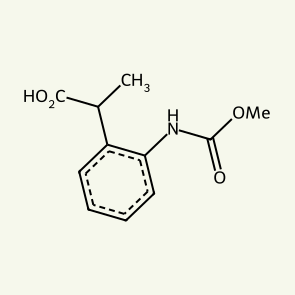 COC(=O)Nc1ccccc1C(C)C(=O)O